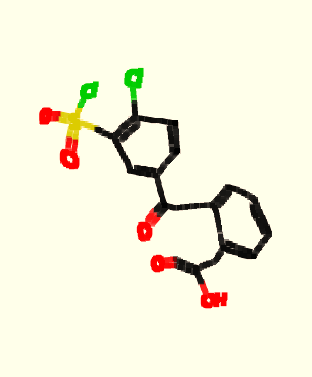 O=C(O)c1ccccc1C(=O)c1ccc(Cl)c(S(=O)(=O)Cl)c1